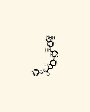 O=C(NCc1ccnnc1)c1cc2ccc(-c3nccc(Nc4ccc5[nH]ncc5c4)n3)cc2[nH]1